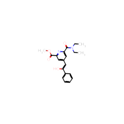 CCN(CC)C(=O)c1cc(/C=C(\O)c2ccccc2)cc(C(=O)OC)n1